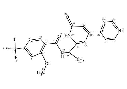 COc1cc(C(F)(F)F)ccc1C(=O)NC(C)c1nc(-c2ccncn2)cc(=O)[nH]1